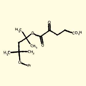 CC(C)OC(C)(C)CC(C)(C)OC(=O)C(=O)CCC(=O)O